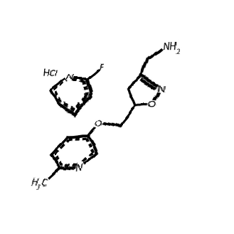 Cc1ccc(OCC2CC(CN)=NO2)cn1.Cl.Fc1ccccn1